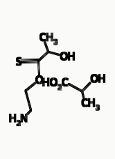 CC(O)C(=O)O.CC(O)C(=S)OCCN